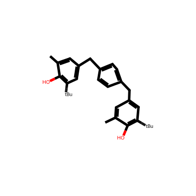 Cc1cc(Cc2ccc(Cc3cc(C)c(O)c(C(C)(C)C)c3)cc2)cc(C(C)(C)C)c1O